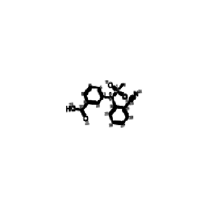 CS(=O)(=O)N(c1cccc(C(=O)O)c1)c1ccccc1C#N